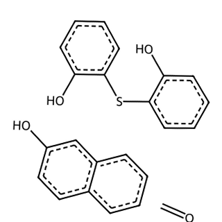 C=O.Oc1ccc2ccccc2c1.Oc1ccccc1Sc1ccccc1O